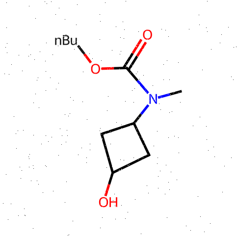 CCCCOC(=O)N(C)C1CC(O)C1